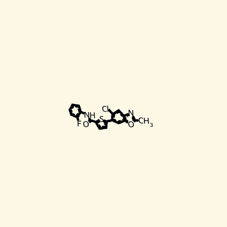 Cc1nc2cc(Cl)c(-c3ccc(C(=O)Nc4ccccc4F)s3)cc2o1